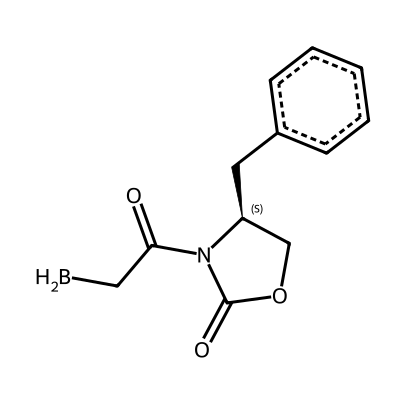 BCC(=O)N1C(=O)OC[C@@H]1Cc1ccccc1